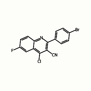 N#Cc1c(-c2ccc(Br)cc2)nc2ccc(F)cc2c1Cl